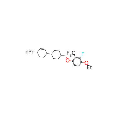 CCCC1C=CC(C2CCC(COc3ccc(OCC)c(F)c3C(F)(F)F)CC2)CC1